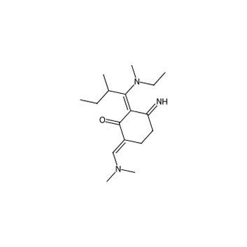 CCC(C)/C(=C1/C(=N)CC/C(=C\N(C)C)C1=O)N(C)CC